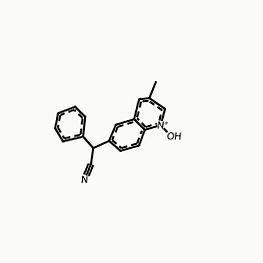 Cc1cc2cc(C(C#N)c3ccccc3)ccc2[n+](O)c1